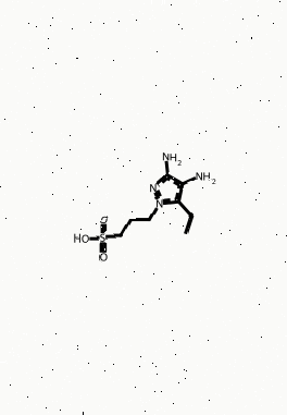 CCc1c(N)c(N)nn1CCCS(=O)(=O)O